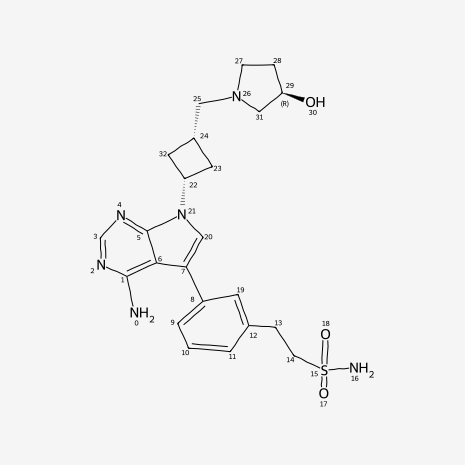 Nc1ncnc2c1c(-c1cccc(CCS(N)(=O)=O)c1)cn2[C@H]1C[C@@H](CN2CC[C@@H](O)C2)C1